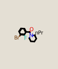 CCCC1CCCCN1C(=O)c1cccc(Br)c1F